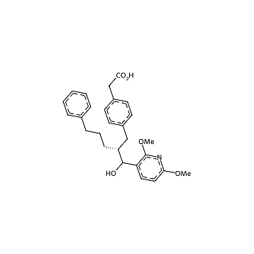 COc1ccc(C(O)[C@H](CCCc2ccccc2)Cc2ccc(CC(=O)O)cc2)c(OC)n1